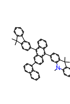 CN1c2ccccc2C(C)(C)c2ccc(-c3c4ccccc4c(-c4ccc5c(c4)-c4ccccc4C5(C)C)c4cc(-c5cccc6ccccc56)ccc34)cc21